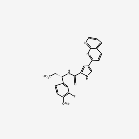 COc1ccc([C@H](CC(=O)O)NC(=O)c2cc(-c3ccc4cccnc4n3)c[nH]2)cc1F